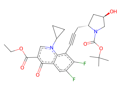 CCOC(=O)c1cn(C2CC2)c2c(C#CC[C@@H]3C[C@@H](O)CN3C(=O)OC(C)(C)C)c(F)c(F)cc2c1=O